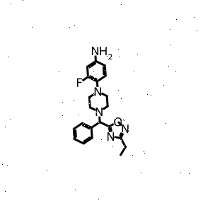 CCc1noc(C(c2ccccc2)N2CCN(c3ccc(N)cc3F)CC2)n1